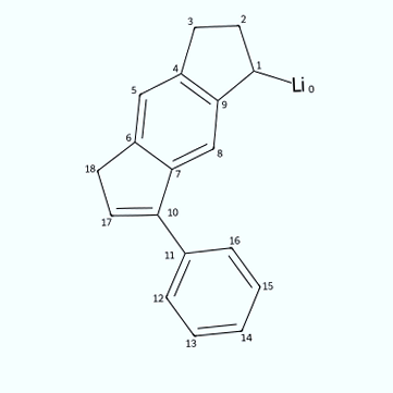 [Li][CH]1CCc2cc3c(cc21)C(c1ccccc1)=CC3